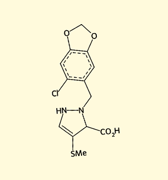 CSC1=CNN(Cc2cc3c(cc2Cl)OCO3)C1C(=O)O